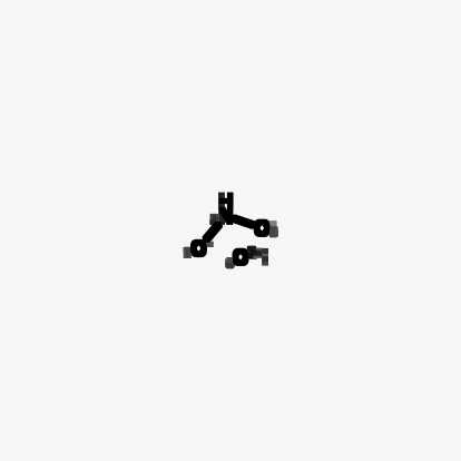 [O+2].[O-]N[O-]